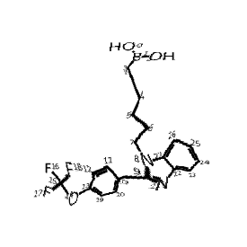 OB(O)CCCCCn1c(-c2ccc(OC(F)(F)F)cc2)nc2ccccc21